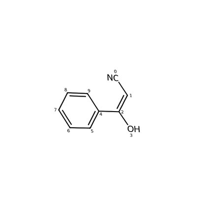 N#C/C=C(/O)c1ccccc1